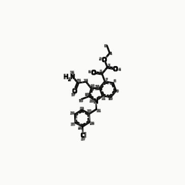 CCOC(=O)C(=O)c1cccc2c1c(CC(N)=O)c(C)n2Cc1cccc(Cl)c1